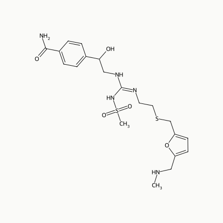 CNCc1ccc(CSCCN=C(NCC(O)c2ccc(C(N)=O)cc2)NS(C)(=O)=O)o1